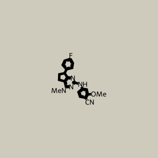 CNc1nc(Nc2ccc(C#N)c(OC)c2)nc2c1CCC2c1ccc(F)cc1